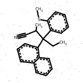 CCC(c1ccccc1SC)(c1cccc2ccccc12)C(C)C#N